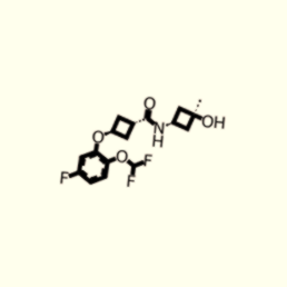 C[C@]1(O)C[C@H](NC(=O)[C@H]2C[C@H](Oc3cc(F)ccc3OC(F)F)C2)C1